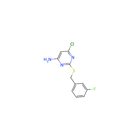 Nc1cc(Cl)nc(SCc2cccc(F)c2)n1